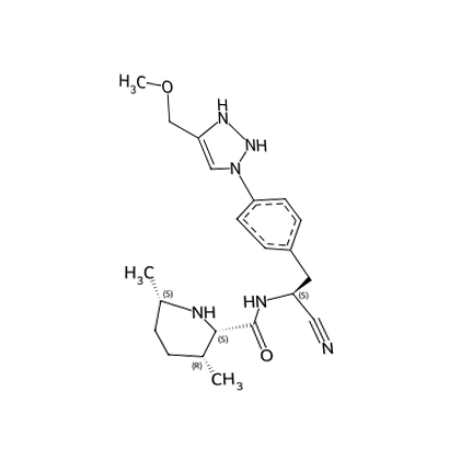 COCC1=CN(c2ccc(C[C@@H](C#N)NC(=O)[C@H]3N[C@@H](C)CC[C@H]3C)cc2)NN1